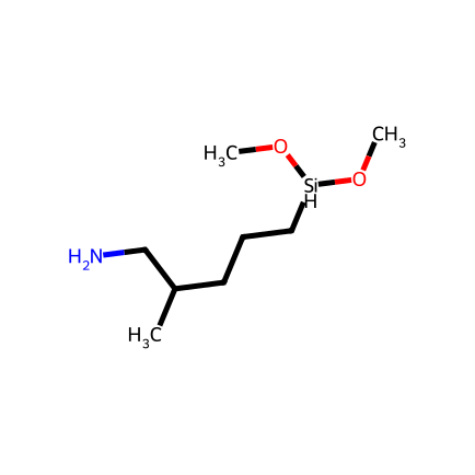 CO[SiH](CCCC(C)CN)OC